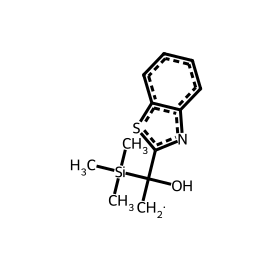 [CH2]C(O)(c1nc2ccccc2s1)[Si](C)(C)C